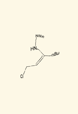 CCCC/C(=C/CCl)NNC